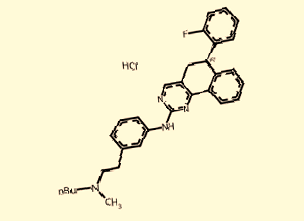 CCCCN(C)CCc1cccc(Nc2ncc3c(n2)-c2ccccc2[C@H](c2ccccc2F)C3)c1.Cl